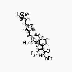 CCCNC(=O)c1c(C(F)(F)F)sc2c1CCO[C@@]21CCN(Cc2cn(CCS(C)(=O)=O)nn2)[C@@H](C)C1